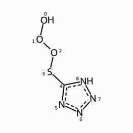 OOOSc1nnn[nH]1